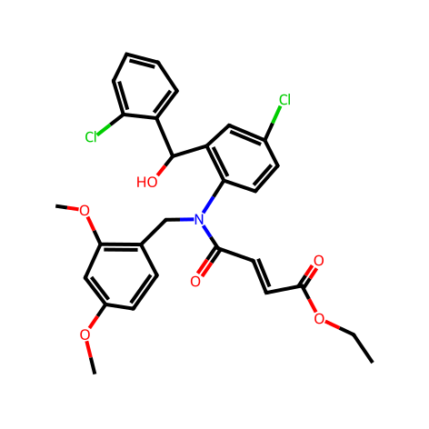 CCOC(=O)/C=C/C(=O)N(Cc1ccc(OC)cc1OC)c1ccc(Cl)cc1C(O)c1ccccc1Cl